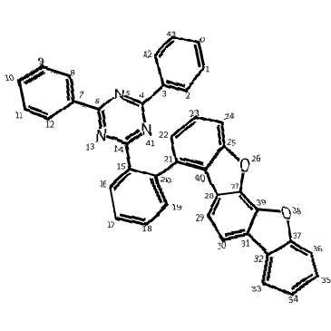 c1ccc(-c2nc(-c3ccccc3)nc(-c3ccccc3-c3cccc4oc5c(ccc6c7ccccc7oc65)c34)n2)cc1